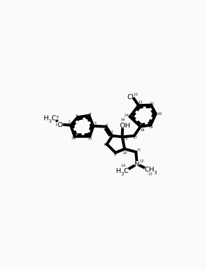 COc1ccc(/C=C2\CCC(CN(C)C)C2(O)Cc2cccc(Cl)c2)cc1